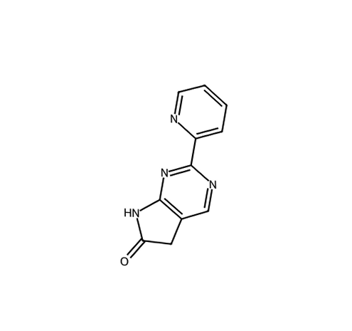 O=C1Cc2cnc(-c3ccccn3)nc2N1